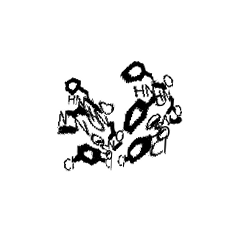 O=C(N[C@@H](CC1CCCCC1)C(=O)NCC1CN(S(=O)(=O)c2ccc(Cl)cc2Cl)CCO1)c1ccccc1.O=C(N[C@@H](CC1CCCCC1)C(=O)NCC1CN(S(=O)(=O)c2ccc(Cl)cc2Cl)CCO1)c1cnccn1